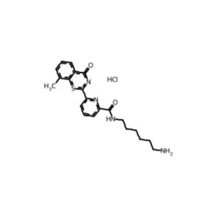 Cc1cccc2c(=O)nc(-c3cccc(C(=O)NCCCCCCN)n3)sc12.Cl